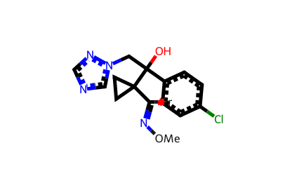 CON=C(C(C)C)C1(C(O)(Cn2cncn2)c2ccc(Cl)cc2)CC1